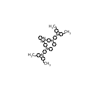 CCc1ccc2c(c1)c1cc(CC)ccc1n2-c1ccc(N(c2ccccc2)c2ccc(-c3nc4ccccc4nc3-c3ccc(N(c4ccccc4)c4ccc(-n5c6ccc(CC)cc6c6cc(CC)ccc65)cc4)cc3)cc2)cc1